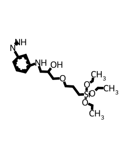 CCO[Si](CCCOCC(O)CNc1cccc(N=N)c1)(OCC)OCC